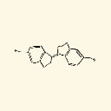 Brc1ccc2c(c1)CC/C2=C1/CCc2cc(Br)ccc21